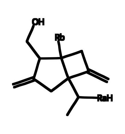 C=C1CC2([CH](C)[RaH])C(=C)C[C]2([Rb])C1CO